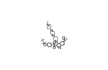 CCN1CCC(N2CCN(C3CCN(c4c(S(=O)(=O)c5ccc(OC(C)(C)C(C)(C)C)cc5)cnc5ccc([S+](C)[O-])cc45)CC3)CC2)CC1